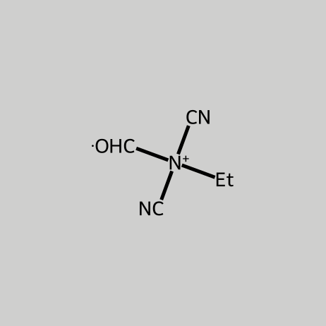 CC[N+]([C]=O)(C#N)C#N